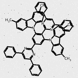 Cc1ccc2c(c1)c1cc(C)ccc1n2-c1cc(-c2nc(-c3ccccc3)cc(-c3ccccc3)n2)cc(-n2c3ccc(C)cc3c3cc(C)ccc32)c1-c1nc(-c2ccccc2)cc(-c2ccccc2)n1